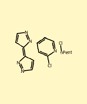 C1=CC(=C2C=CN=N2)N=N1.CCCCCCl.Clc1ccccn1